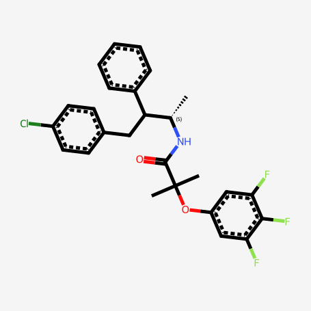 C[C@H](NC(=O)C(C)(C)Oc1cc(F)c(F)c(F)c1)C(Cc1ccc(Cl)cc1)c1ccccc1